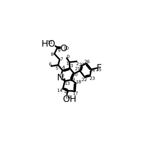 CC(C)c1c(C(C)CCC(=O)O)nc2cc(O)ccc2c1-c1ccc(F)cc1